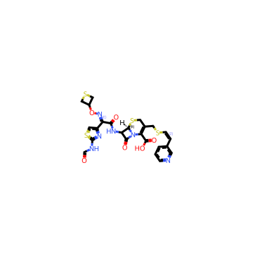 O=CNc1nc(/C(=N\OC2CSC2)C(=O)NC2C(=O)N3C(C(=O)O)=C(CS/C=C\c4cccnc4)CS[C@H]23)cs1